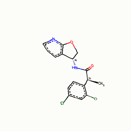 C[C@H](C(=O)N[C@H]1COc2ncccc21)c1ccc(Cl)cc1Cl